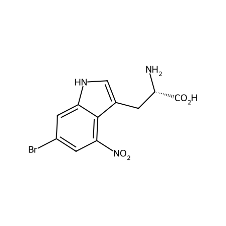 N[C@@H](Cc1c[nH]c2cc(Br)cc([N+](=O)[O-])c12)C(=O)O